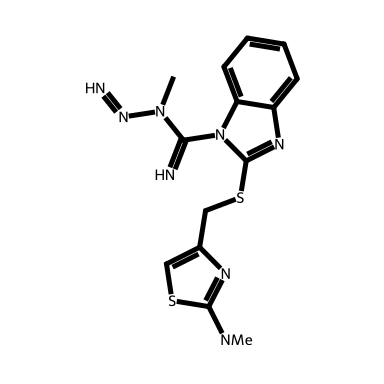 CNc1nc(CSc2nc3ccccc3n2C(=N)N(C)N=N)cs1